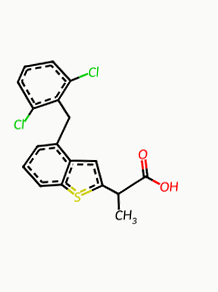 CC(C(=O)O)c1cc2c(Cc3c(Cl)cccc3Cl)cccc2s1